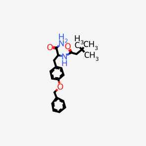 CC(C)(C)CC(=O)NC(Cc1ccc(OCc2ccccc2)cc1)C(N)=O